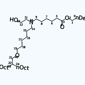 CCCCCCCCCCCOC(=O)CCCCCN(CCO)CCCCCCOCC(CCCCCCCC)CCCCCCCC